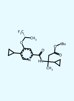 C[C@H](Oc1cc(C(=O)NC(C)(CC(=O)OC(C)(C)C)C2CC2)ncc1C1CC1)C(F)(F)F